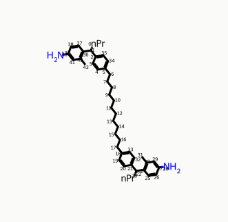 CCCC(c1ccc(CCCCCCCCCCCCc2ccc(C(CCC)c3ccc(N)cc3C)cc2)cc1)c1ccc(N)cc1C